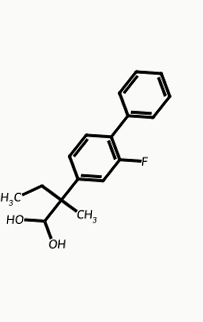 CCC(C)(c1ccc(-c2ccccc2)c(F)c1)C(O)O